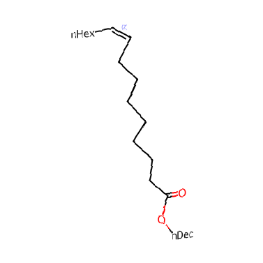 CCCCCC/C=C\CCCCCCCC(=O)OCCCCCCCCCC